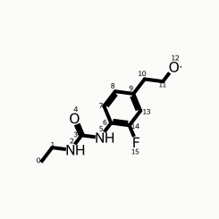 CCNC(=O)Nc1ccc(CC[O])cc1F